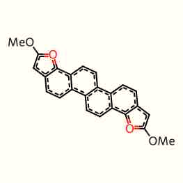 COc1cc2ccc3c4ccc5c(ccc6cc(OC)oc65)c4ccc3c2o1